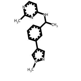 Cc1nccc(NC(C)c2cccc(-c3cnn(C)c3)c2)n1